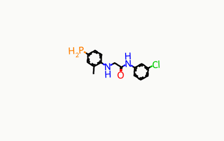 Cc1cc(P)ccc1NCC(=O)Nc1cccc(Cl)c1